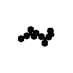 c1ccc(-c2ccc(N(c3ccccc3)c3cccc4c(-c5ccc(N(c6ccccc6)c6ccc7oc8ccccc8c7c6)cc5)cccc34)cc2)cc1